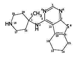 CC1(Nc2ncnc3sc4c(c23)CCCC4)CCNCC1